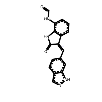 O=CNc1cccc2c1NC(=O)/C2=C\c1ccc2cn[nH]c2c1